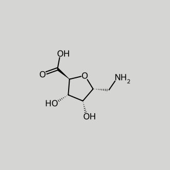 NC[C@H]1O[C@H](C(=O)O)[C@@H](O)[C@H]1O